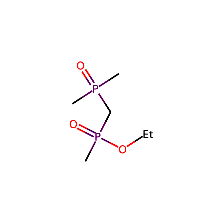 CCOP(C)(=O)CP(C)(C)=O